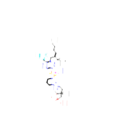 C=CCC/C=C(\C(=C)c1nc(NS(=O)(=O)c2cccc(N3CCC(C)(CC(=O)O)CC3)n2)cnc1C(F)(F)F)C(C)C